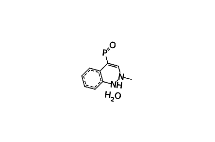 CN1C=C(P=O)c2ccccc2N1.O